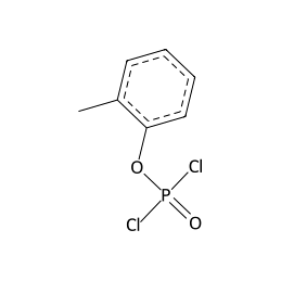 Cc1ccccc1OP(=O)(Cl)Cl